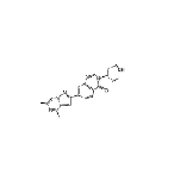 Cc1cn2nc(-c3ccc4c(=O)n(C5CCNCC5)cnc4c3)cc2c(C)n1